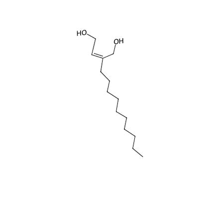 CCCCCCCCCCC(=CCO)CO